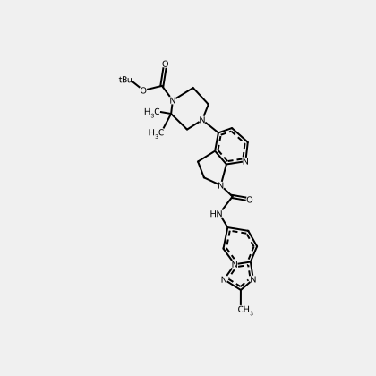 Cc1nc2ccc(NC(=O)N3CCc4c(N5CCN(C(=O)OC(C)(C)C)C(C)(C)C5)ccnc43)cn2n1